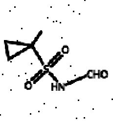 CC1(S(=O)(=O)NC=O)CC1